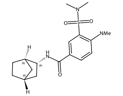 CNc1ccc(C(=O)N[C@@H]2C[C@@H]3CC[C@@H]2C3)cc1S(=O)(=O)N(C)C